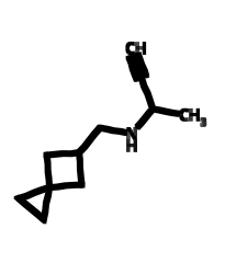 C#CC(C)NCC1CC2(CC2)C1